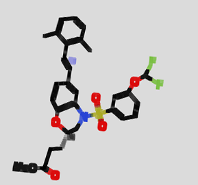 COC(=O)CC[C@H]1CN(S(=O)(=O)c2cccc(OC(F)F)c2)c2cc(/C=C/c3c(C)cccc3C)ccc2O1